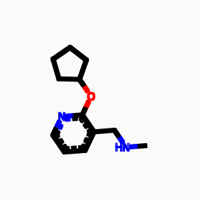 CNCc1cccnc1OC1CCCC1